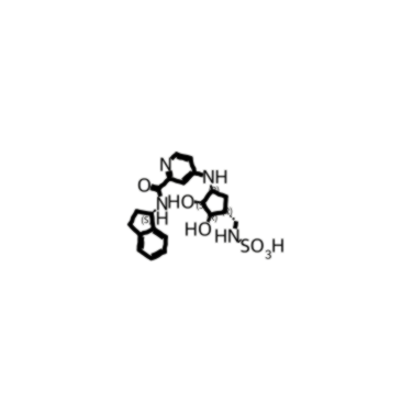 O=C(N[C@H]1CCc2ccccc21)c1cc(N[C@@H]2C[C@H](CNS(=O)(=O)O)[C@@H](O)[C@H]2O)ccn1